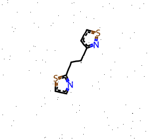 [CH](Cc1nccs1)c1ccsn1